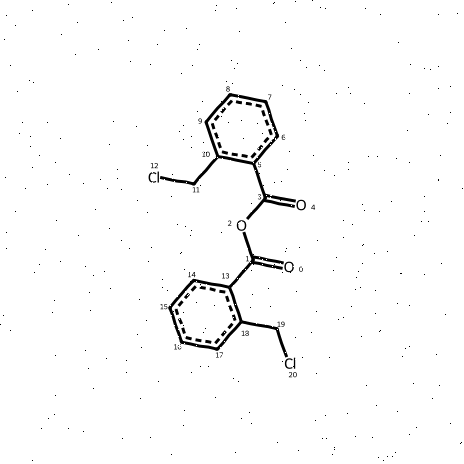 O=C(OC(=O)c1ccccc1CCl)c1ccccc1CCl